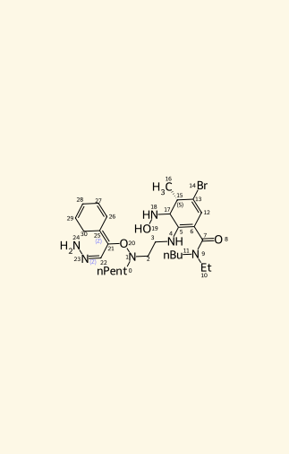 CCCCCN(CCNC1=C(C(=O)N(CC)CCCC)C=C(Br)[C@@H](C)C1NO)OC(/C=N\N)=C1\C=CC=CC1